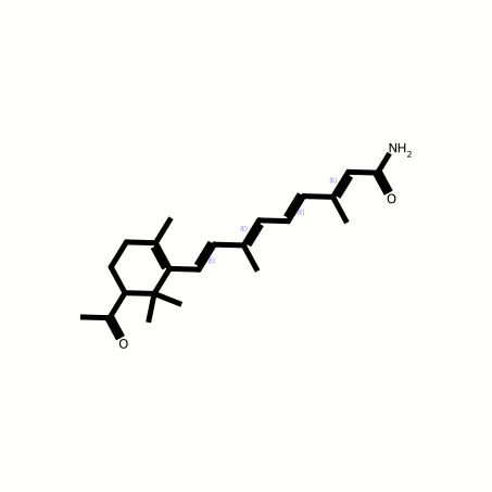 CC(=O)C1CCC(C)=C(/C=C/C(C)=C/C=C/C(C)=C/C(N)=O)C1(C)C